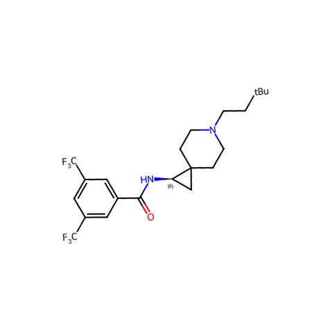 CC(C)(C)CCN1CCC2(CC1)C[C@H]2NC(=O)c1cc(C(F)(F)F)cc(C(F)(F)F)c1